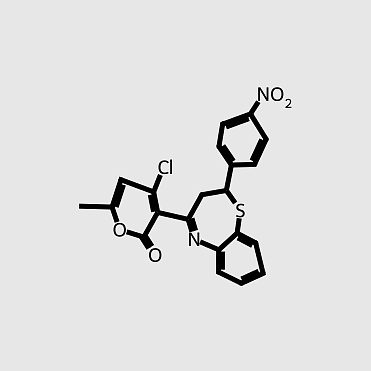 Cc1cc(Cl)c(C2=Nc3ccccc3SC(c3ccc([N+](=O)[O-])cc3)C2)c(=O)o1